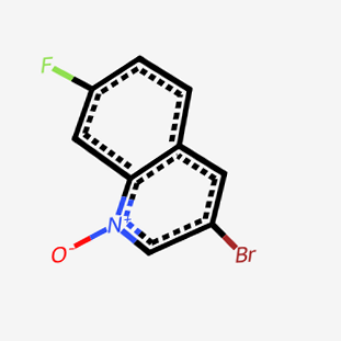 [O-][n+]1cc(Br)cc2ccc(F)cc21